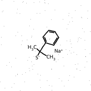 CC(C)([S-])c1ccccc1.[Na+]